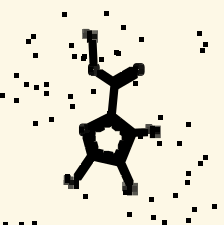 [2H]OC(=O)c1oc([2H])c([2H])c1[2H]